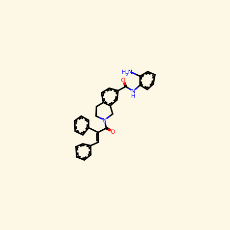 Nc1ccccc1NC(=O)c1ccc2c(c1)CN(C(=O)C(=Cc1ccccc1)c1ccccc1)CC2